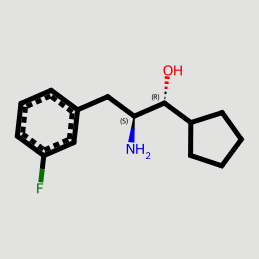 N[C@@H](Cc1cccc(F)c1)[C@H](O)C1CCCC1